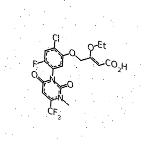 CCOC(=CC(=O)O)COc1cc(-n2c(=O)cc(C(F)(F)F)n(C)c2=O)c(F)cc1Cl